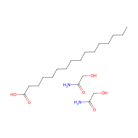 CCCCCCCCCCCCCCCC(=O)O.NC(=O)CO.NC(=O)CO